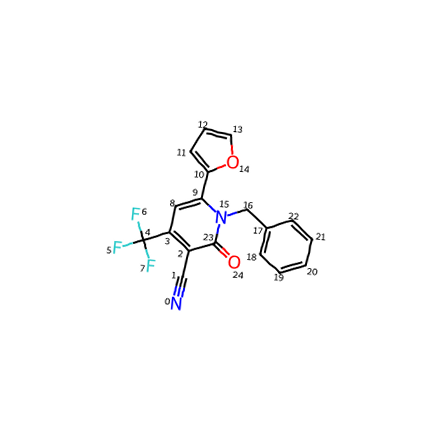 N#Cc1c(C(F)(F)F)cc(-c2ccco2)n(Cc2ccccc2)c1=O